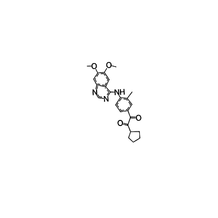 COc1cc2ncnc(Nc3ccc(C(=O)C(=O)C4CCCC4)cc3C)c2cc1OC